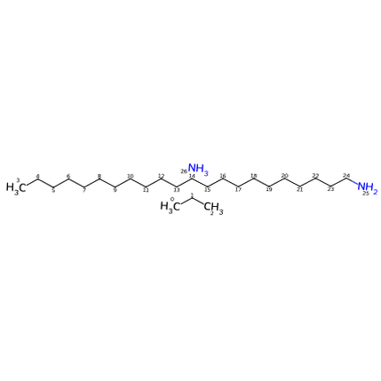 CCC.CCCCCCCCCCCCCCCCCCCCCCN.N